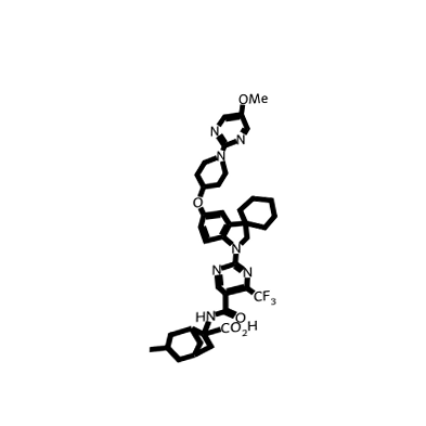 COc1cnc(N2CCC(Oc3ccc4c(c3)C3(CCCCC3)CN4c3ncc(C(=O)NC4(C(=O)O)CC5CC(C)CC4C5)c(C(F)(F)F)n3)CC2)nc1